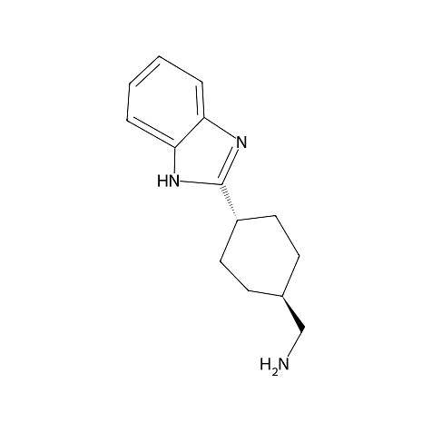 NC[C@H]1CC[C@H](c2nc3ccccc3[nH]2)CC1